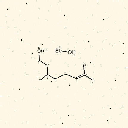 CC(C)=CCCC(C)CCO.CCO